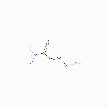 CN(C)C(=O)C=CCF